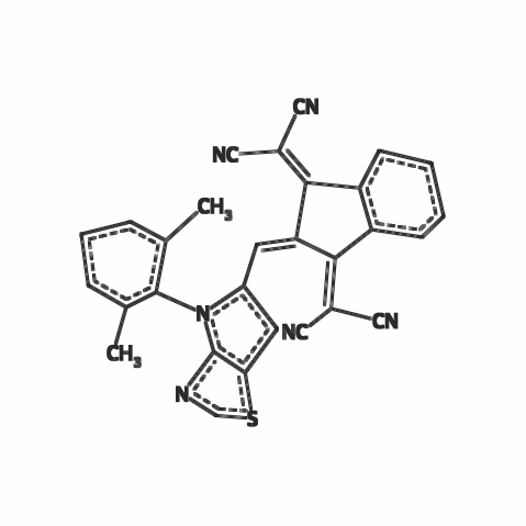 Cc1cccc(C)c1-n1c(C=C2C(=C(C#N)C#N)c3ccccc3C2=C(C#N)C#N)cc2scnc21